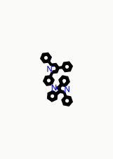 c1ccc(-c2cc(-c3ccccc3)nc(-c3cccc(-n4c5ccccc5c5c(-c6ccccc6)nc6ccccc6c54)c3)c2)cc1